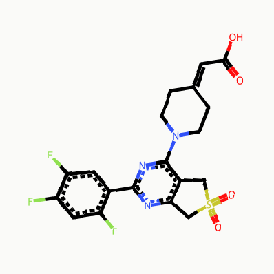 O=C(O)C=C1CCN(c2nc(-c3cc(F)c(F)cc3F)nc3c2CS(=O)(=O)C3)CC1